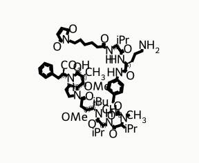 CC[C@H](C)[C@@H]([C@@H](CC(=O)N1CCC[C@H]1[C@H](OC)[C@@H](C)C(=O)N[C@@H](Cc1ccccc1)C(=O)O)OC)N(C)C(=O)[C@@H](NC(=O)C(C(C)C)N(C)C(=O)OCc1ccc(NC(=O)[C@H](CCCN)NC(=O)[C@@H](NC(=O)CCCCCN2C(=O)C=CC2=O)C(C)C)cc1)C(C)C